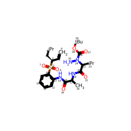 C=C[C@H](CC(C)C)S(=O)(=O)c1ccccc1NC(=O)C(C)NC(=O)C(C(C)C)N(N)C(=O)OC(C)(C)C